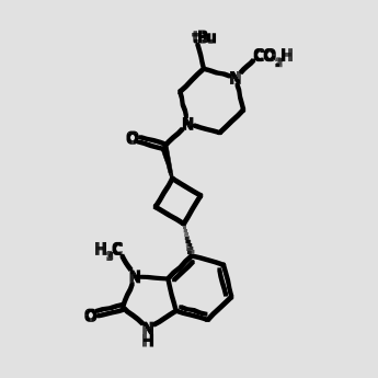 Cn1c(=O)[nH]c2cccc([C@H]3C[C@H](C(=O)N4CCN(C(=O)O)C(C(C)(C)C)C4)C3)c21